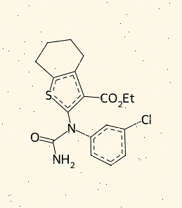 CCOC(=O)c1c(N(C(N)=O)c2cccc(Cl)c2)sc2c1CCCC2